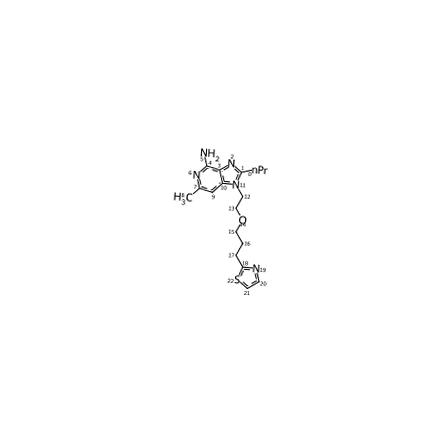 CCCc1nc2c(N)nc(C)cc2n1CCOCCCc1nccs1